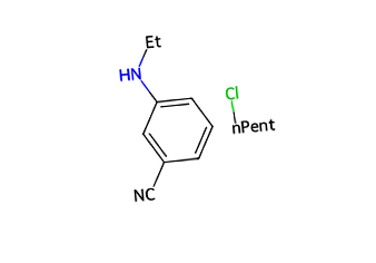 CCCCCCl.CCNc1cccc(C#N)c1